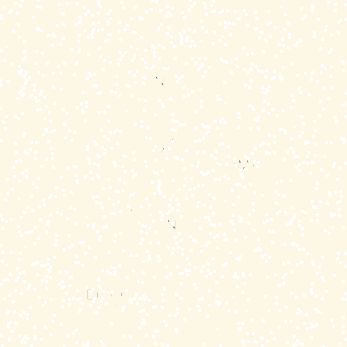 CCOC(=O)CC(c1ccnc(O[C@H]2CC[C@H](Oc3cc(OC)ccc3C3CCN(CC(F)(F)F)CC3)CC2)c1)C1CC1